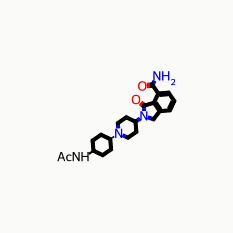 CC(=O)N[C@H]1CC[C@H](N2CCC(N3Cc4cccc(C(N)=O)c4C3=O)CC2)CC1